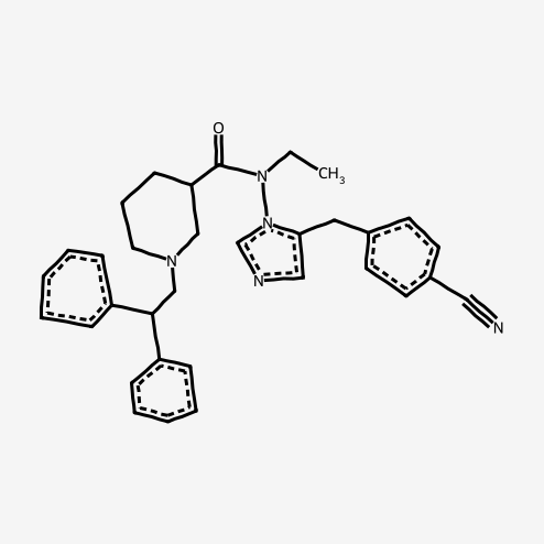 CCN(C(=O)C1CCCN(CC(c2ccccc2)c2ccccc2)C1)n1cncc1Cc1ccc(C#N)cc1